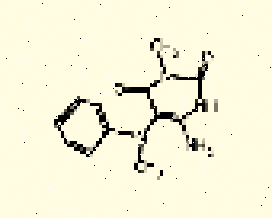 CN(c1ccccc1)c1c(N)[nH]c(=O)n(C)c1=O